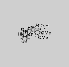 COc1ccc(C(CC(=O)O)NC(=O)Cn2c(=O)[nH]c3ccccc3c2=O)cc1OC